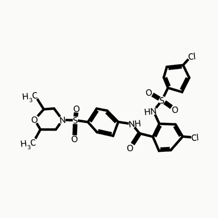 CC1CN(S(=O)(=O)c2ccc(NC(=O)c3ccc(Cl)cc3NS(=O)(=O)c3ccc(Cl)cc3)cc2)CC(C)O1